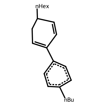 CCCCCCC1C=CC(c2ccc(CCCC)cc2)=CC1